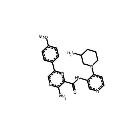 COc1ccc(-c2cnc(N)c(C(=O)Nc3cnccc3N3CCCC(N)C3)n2)cc1